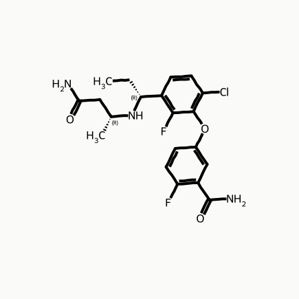 CC[C@@H](N[C@H](C)CC(N)=O)c1ccc(Cl)c(Oc2ccc(F)c(C(N)=O)c2)c1F